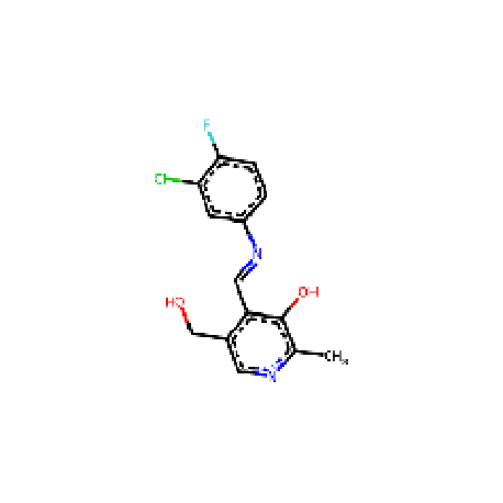 Cc1ncc(CO)c(C=Nc2ccc(F)c(Cl)c2)c1O